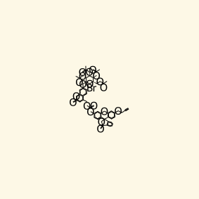 C#CCOc1ccc2c(c1)Oc1cc(OC(=O)OCc3cc(=O)oc4cc(O[C@@H]5O[C@H](COC(C)=O)[C@H](OC(C)=O)[C@H](OC(C)=O)[C@H]5OC(C)=O)c(Br)cc34)ccc1C21OC(=O)c2ccccc21